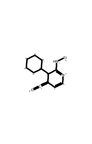 CCNC1=NC=CC(=C=O)C1C1CCCCC1